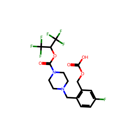 O=C(O)OCc1cc(F)ccc1CN1CCN(C(=O)OC(C(F)(F)F)C(F)(F)F)CC1